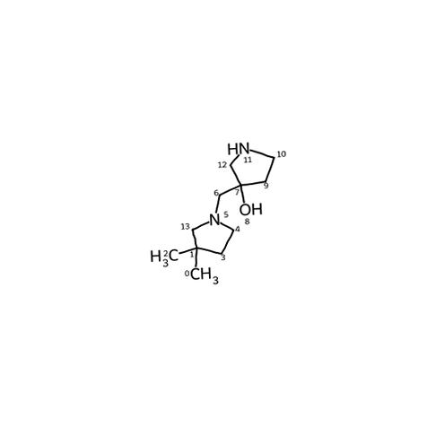 CC1(C)CCN(CC2(O)CCNC2)C1